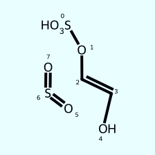 O=S(=O)(O)OC=CO.O=S=O